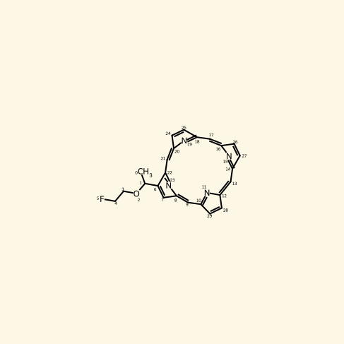 CC(OCCF)C1=CC2=CC3=NC(=CC4=NC(=CC5=NC(=CC1=N2)C=C5)C=C4)C=C3